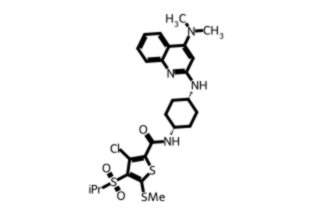 CSc1sc(C(=O)N[C@H]2CC[C@@H](Nc3cc(N(C)C)c4ccccc4n3)CC2)c(Cl)c1S(=O)(=O)C(C)C